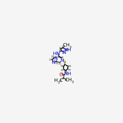 Cc1cc(NC2=CN(Sc3ccc(NC(=O)C(C)C)cc3)CC3=NC=C[N+]23)n[nH]1